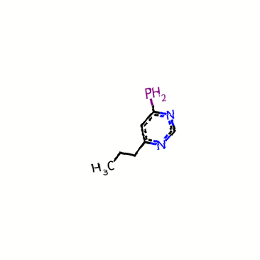 CCCc1cc(P)ncn1